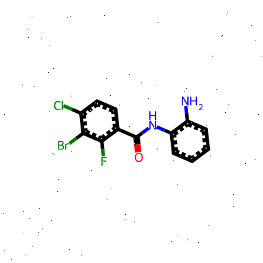 Nc1ccccc1NC(=O)c1ccc(Cl)c(Br)c1F